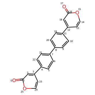 O=c1cc(-c2ccc(-c3ccc(-c4ccoc(=O)c4)cc3)cc2)cco1